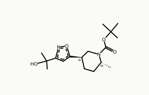 C[C@@H]1CC[C@@H](c2cc(C(C)(C)O)no2)CN1C(=O)OC(C)(C)C